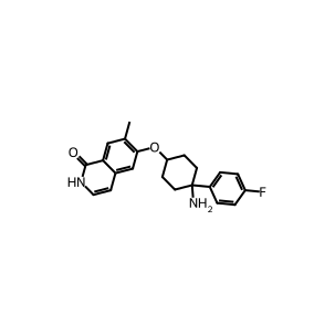 Cc1cc2c(=O)[nH]ccc2cc1OC1CCC(N)(c2ccc(F)cc2)CC1